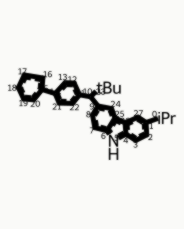 CC(C)c1ccc2[nH]c3ccc(C(c4ccc(-c5ccccc5)cc4)C(C)(C)C)cc3c2c1